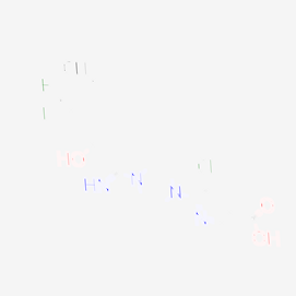 C=C(/C=C\C=C(\O)CC(=N)N1CCN(c2ncc(C(=O)O)cc2Cl)CC1)C(F)(F)F